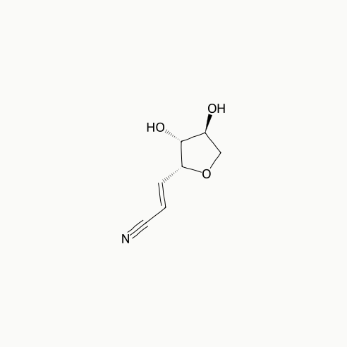 N#CC=C[C@H]1OC[C@H](O)[C@H]1O